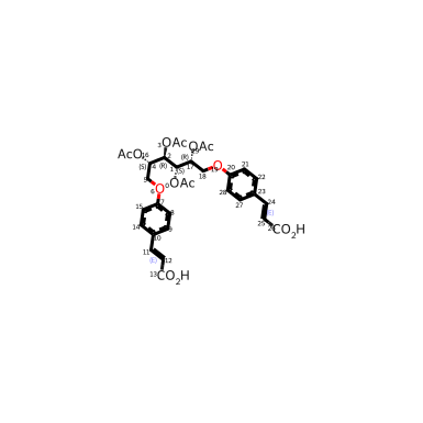 CC(=O)O[C@H]([C@H](OC(C)=O)[C@H](COc1ccc(/C=C/C(=O)O)cc1)OC(C)=O)[C@@H](COc1ccc(/C=C/C(=O)O)cc1)OC(C)=O